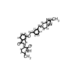 C=C1CCC(N2Cc3c(OCc4cccc(CN5CCn6nc(C)nc6C5)c4)cccc3C2=O)C(=O)N1